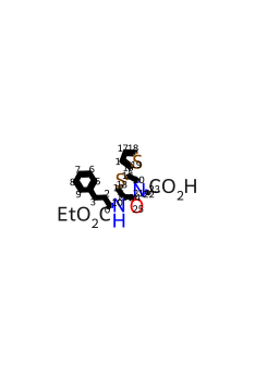 CCOC(=O)[C@H](CCc1ccccc1)NC1CS[C@H](c2cccs2)CN(CC(=O)O)C1=O